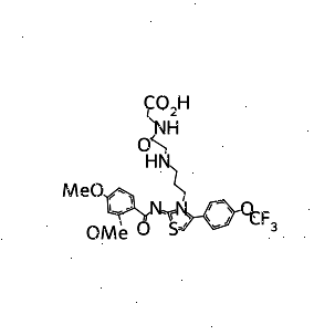 COc1ccc(C(=O)/N=c2\scc(-c3ccc(OC(F)(F)F)cc3)n2CCCNCC(=O)NCC(=O)O)c(OC)c1